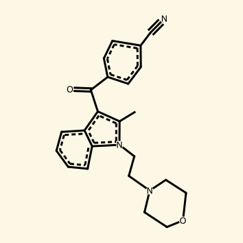 Cc1c(C(=O)c2ccc(C#N)cc2)c2ccccc2n1CCN1CCOCC1